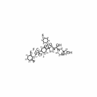 O=S(=O)(c1ccc(F)cc1)[C@@]1(c2ccc(C(OCc3c(F)cccc3F)(C(F)(F)F)C(F)(F)F)cc2)CCN(C(O)N2CCN[C@H](CO)C2)C1